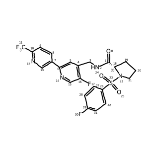 O=C(NCc1cc(-c2ccc(C(F)(F)F)nc2)ncc1F)[C@@H]1CCCN1S(=O)(=O)c1ccc(F)cc1